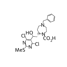 CSc1nc(Cl)c(C(O)C[C@@H]2CCN(Cc3ccccc3)CCN2C(=O)O)c(Cl)n1